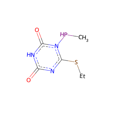 CCSc1nc(=O)[nH]c(=O)n1PC